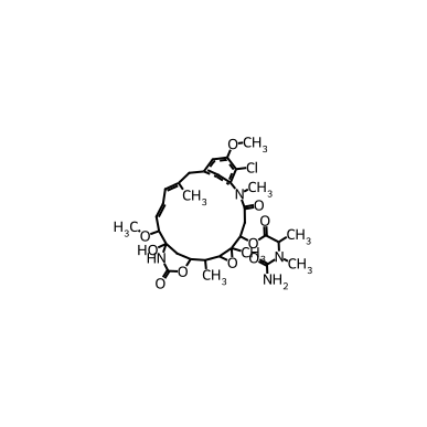 COc1cc2cc(c1Cl)N(C)C(=O)CC(OC(=O)C(C)N(C)C(N)=O)C1(C)OC1C(C)C1CC(O)(NC(=O)O1)C(OC)/C=C/C=C(\C)C2